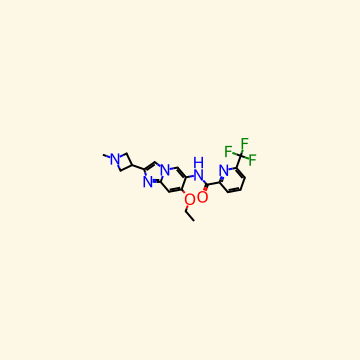 CCOc1cc2nc(C3CN(C)C3)cn2cc1NC(=O)c1cccc(C(F)(F)F)n1